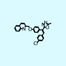 Cc1nnc(/C(=C/c2ccc(Cl)cc2)c2ccc(OCc3ccc4ccccc4n3)cc2)o1